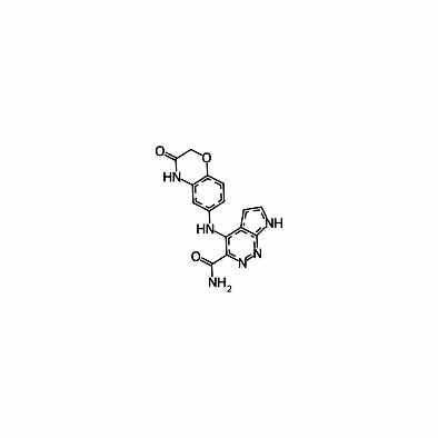 NC(=O)c1nnc2[nH]ccc2c1Nc1ccc2c(c1)NC(=O)CO2